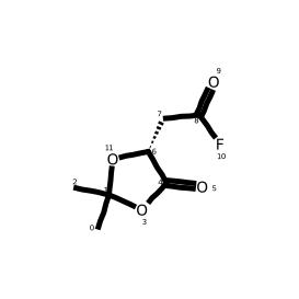 CC1(C)OC(=O)[C@@H](CC(=O)F)O1